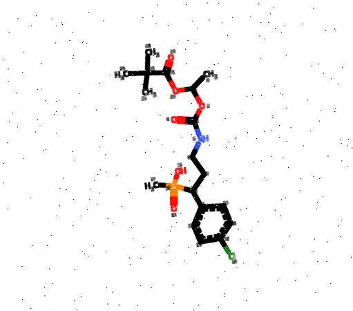 CC(OC(=O)NCCC(c1ccc(Cl)cc1)P(C)(=O)O)OC(=O)C(C)(C)C